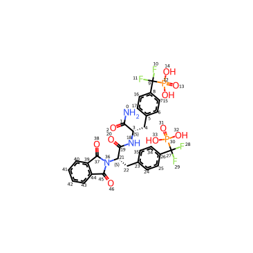 NC(=O)[C@H](Cc1ccc(C(F)(F)P(=O)(O)O)cc1)NC(=O)[C@H](Cc1ccc(C(F)(F)P(=O)(O)O)cc1)N1C(=O)c2ccccc2C1=O